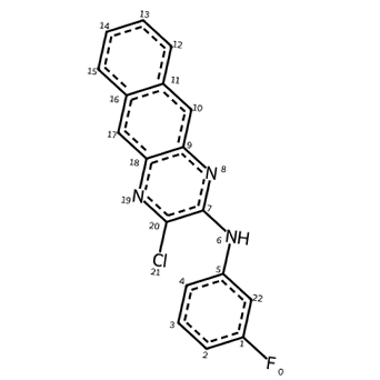 Fc1cccc(Nc2nc3cc4ccccc4cc3nc2Cl)c1